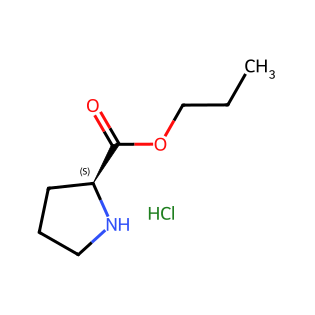 CCCOC(=O)[C@@H]1CCCN1.Cl